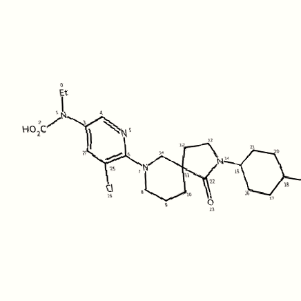 CCN(C(=O)O)c1cnc(N2CCCC3(CCN(C4CCC(O)CC4)C3=O)C2)c(Cl)c1